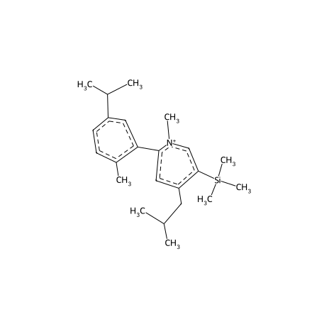 Cc1ccc(C(C)C)cc1-c1cc(CC(C)C)c([Si](C)(C)C)c[n+]1C